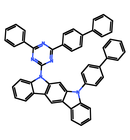 c1ccc(-c2ccc(-c3nc(-c4ccccc4)nc(-n4c5ccccc5c5cc6c7ccccc7n(-c7ccc(-c8ccccc8)cc7)c6cc54)n3)cc2)cc1